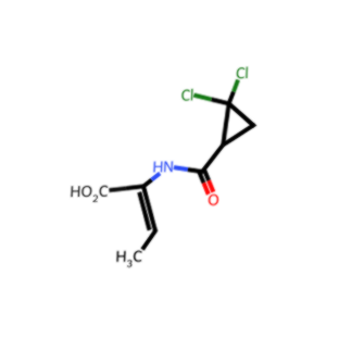 CC=C(NC(=O)C1CC1(Cl)Cl)C(=O)O